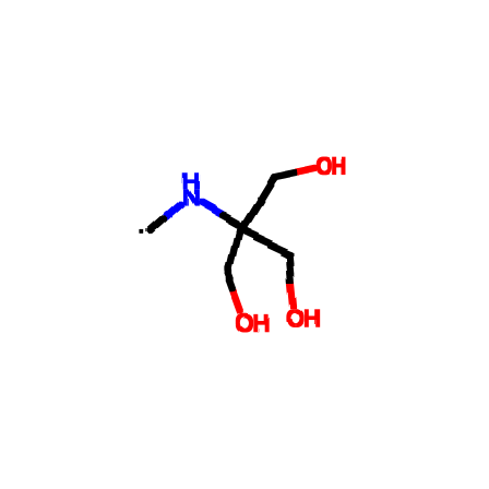 [CH2]NC(CO)(CO)CO